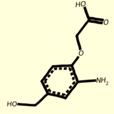 Nc1cc(CO)ccc1OCC(=O)O